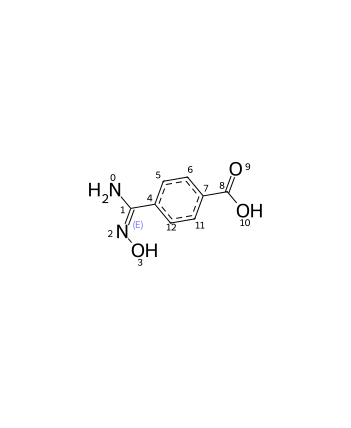 N/C(=N/O)c1ccc(C(=O)O)cc1